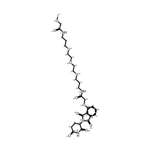 O=C(COI)NCCCOCCOCCOCCCNC(=O)COc1cccc2c1C(=O)N(C1CCC(=O)NC1=O)C2=O